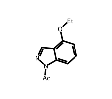 CCOc1cccc2c1cnn2C(C)=O